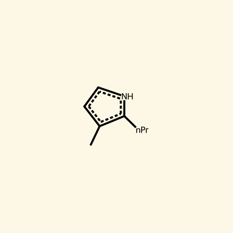 CCCc1[nH]ccc1C